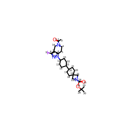 CC(=O)N1CCc2c(c(I)nn2C2CCC(C3CCC4(CC3)CN(C(=O)OC(C)(C)C)C4)CC2)C1